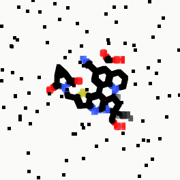 C[C@]1(CO)C[C@H](N2CCCc3cc(C#N)cc(-c4ccnc5cc(CN6C(=O)C7CC7C6=O)sc45)c32)CN1.O=CO